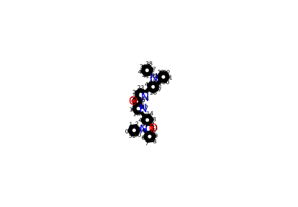 c1ccc(N2c3ccccc3Oc3ccc(-c4ccc5oc6ccc(-c7ccc8c9ccccc9n(-c9ccccc9)c8c7)nc6c5n4)cc32)cc1